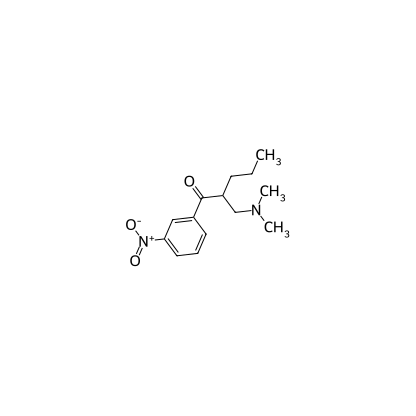 CCCC(CN(C)C)C(=O)c1cccc([N+](=O)[O-])c1